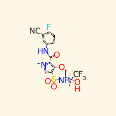 Cn1cc2c(c1C(=O)Nc1ccc(F)c(C#N)c1)OC[C@@H]([C@@](C)(O)C(F)(F)F)NS2(=O)=O